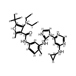 CCN(CC)c1c(C(C)(C)C)oc(C)c1C(=O)Nc1ccc(C)c(Nc2nccn2-c2cc(NC3CC3)ncn2)c1